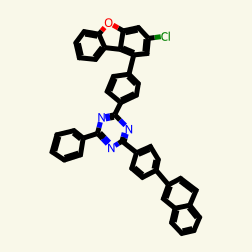 Clc1cc(-c2ccc(-c3nc(-c4ccccc4)nc(-c4ccc(-c5ccc6ccccc6c5)cc4)n3)cc2)c2c(c1)oc1ccccc12